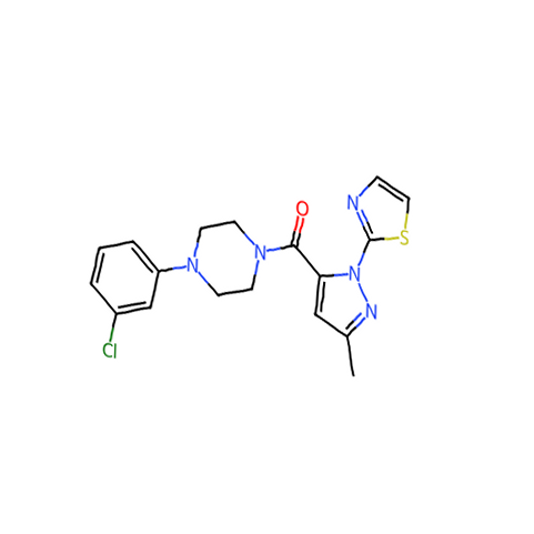 Cc1cc(C(=O)N2CCN(c3cccc(Cl)c3)CC2)n(-c2nccs2)n1